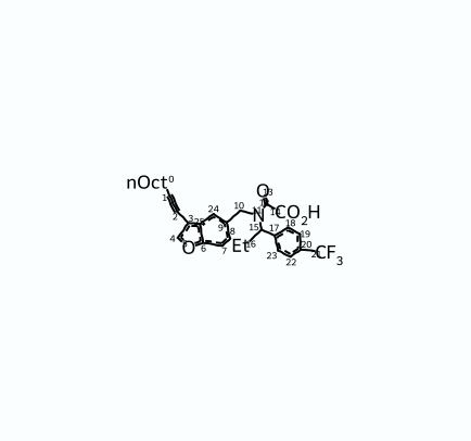 CCCCCCCCC#Cc1coc2ccc(CN(C(=O)C(=O)O)C(CC)c3ccc(C(F)(F)F)cc3)cc12